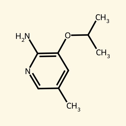 Cc1cnc(N)c(OC(C)C)c1